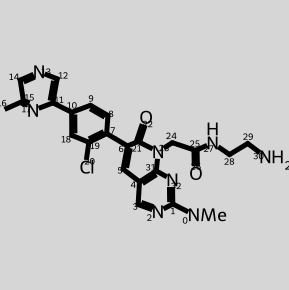 CNc1ncc2cc(-c3ccc(-c4cncc(C)n4)cc3Cl)c(=O)n(CC(=O)NCCN)c2n1